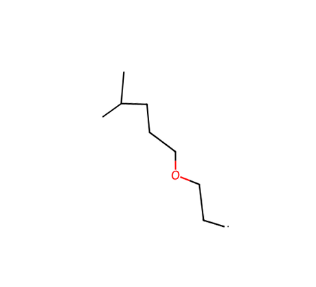 [CH2]CCOCCCC(C)C